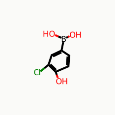 OB(O)c1ccc(O)c(Cl)c1